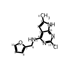 Cc1cc2c(NCc3ccco3)nc(Cl)nc2[nH]1